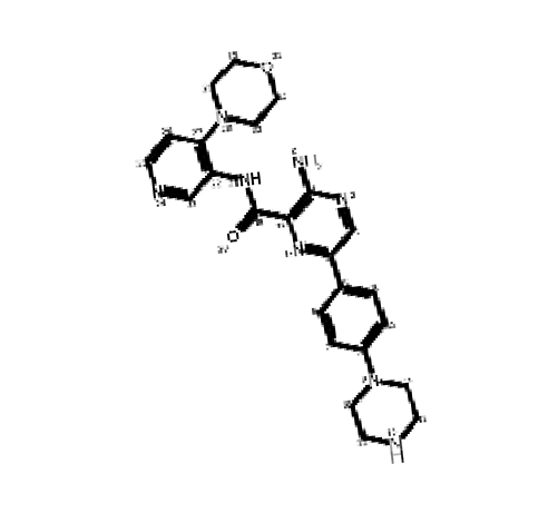 Nc1ncc(-c2ccc(N3CCNCC3)cc2)nc1C(=O)Nc1cnccc1N1CCOCC1